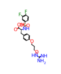 N=C(N)NOCCCOc1ccc(C[C@H](NS(=O)(=O)c2ccc(F)c(F)c2)C(=O)O)cc1